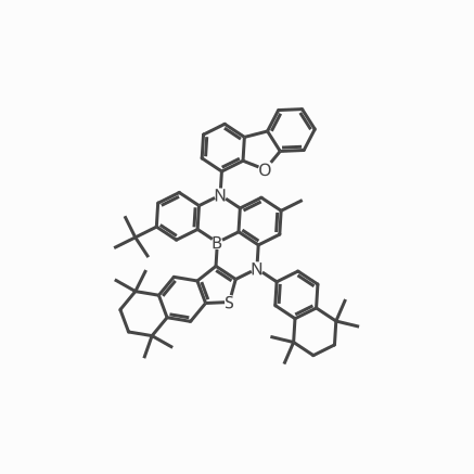 Cc1cc2c3c(c1)N(c1cccc4c1oc1ccccc14)c1ccc(C(C)(C)C)cc1B3c1c(sc3cc4c(cc13)C(C)(C)CCC4(C)C)N2c1ccc2c(c1)C(C)(C)CCC2(C)C